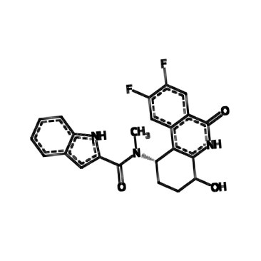 CN(C(=O)c1cc2ccccc2[nH]1)[C@H]1CCC(O)c2[nH]c(=O)c3cc(F)c(F)cc3c21